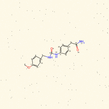 COc1ccc(CNC(=O)Nc2ccc(CC(N)=O)cc2)cc1